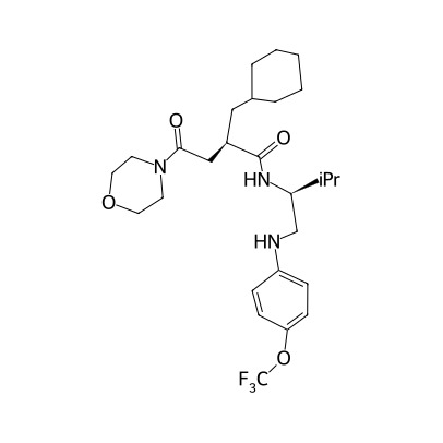 CC(C)[C@@H](CNc1ccc(OC(F)(F)F)cc1)NC(=O)[C@@H](CC(=O)N1CCOCC1)CC1CCCCC1